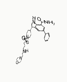 NC(=O)c1cc(-c2ccccc2)cc2c(C3CCN(S(=O)(=O)CCCNCCN4CCOCC4)CC3)c[nH]c12